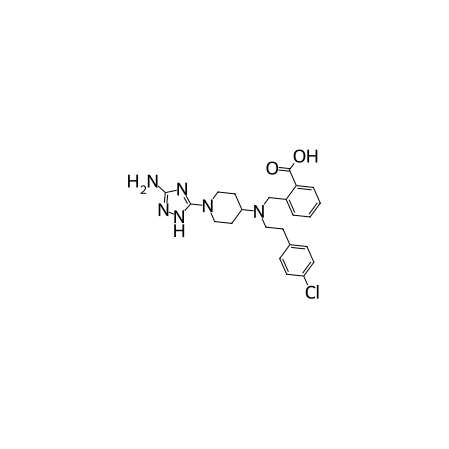 Nc1n[nH]c(N2CCC(N(CCc3ccc(Cl)cc3)Cc3ccccc3C(=O)O)CC2)n1